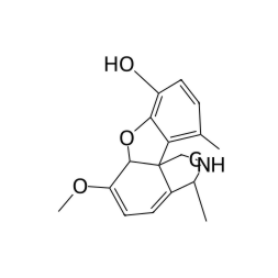 COC1=CC=C2C(C)NCCC23c2c(C)ccc(O)c2OC13